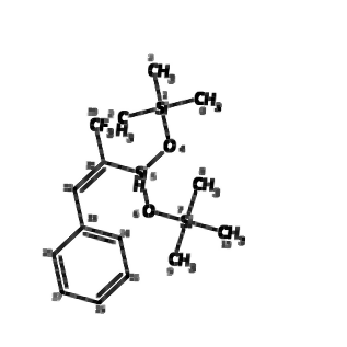 C[Si](C)(C)O[SiH](O[Si](C)(C)C)C(=Cc1ccccc1)C(F)(F)F